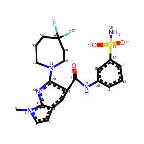 Cn1ccc2cc(C(=O)Nc3cccc(S(N)(=O)=O)c3)c(N3CCCC(F)(F)CC3)nc21